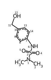 CN(C)S(=O)(=O)Nc1ccc(CO)cc1